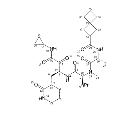 CCC[C@@H](C(=O)N[C@@H](C[C@@H]1CCCNC1=O)C(=O)C(=O)NC1CC1)N(C)C(=O)[C@@H](C)NC(=O)C1CC2(CCC2)C1